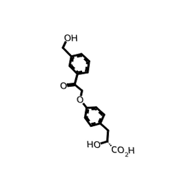 O=C(COc1ccc(C[C@@H](O)C(=O)O)cc1)c1cccc(CO)c1